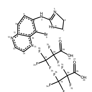 Brc1c(NC2=NCCN2)ccc2nccnc12.O=C(O)C(F)(F)C(F)(F)F.O=C(O)C(F)(F)C(F)(F)F